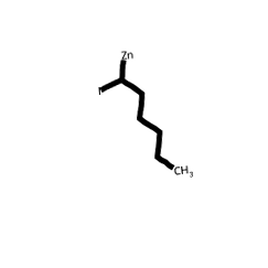 CCCCC[CH]([Zn])I